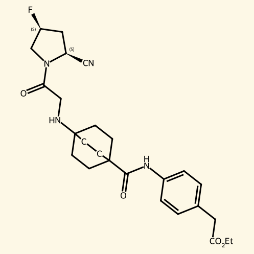 CCOC(=O)Cc1ccc(NC(=O)C23CCC(NCC(=O)N4C[C@@H](F)C[C@H]4C#N)(CC2)CC3)cc1